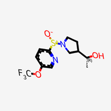 C[C@@H](O)C1CCN([S+]([O-])c2ccc(OC(F)(F)F)cn2)C1